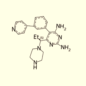 CC[C@@H](c1nc(N)nc(N)c1-c1cccc(-c2ccncc2)c1)N1CCNCC1